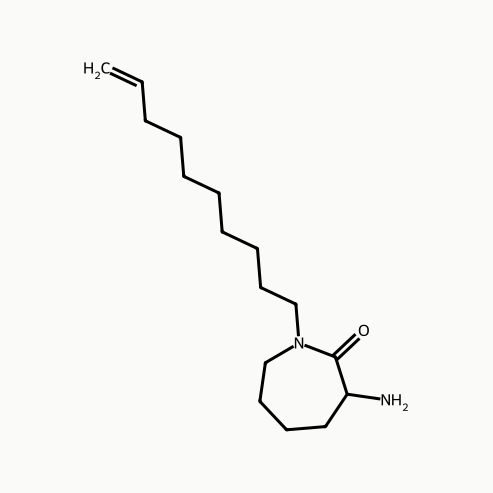 C=CCCCCCCCCN1CCCCC(N)C1=O